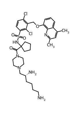 Cc1cc(C)c2cccc(OCc3c(Cl)ccc(S(=O)(=O)NC4(C(=O)N5CCN(C[C@H](N)CCCCN)CC5)CCCC4)c3Cl)c2n1